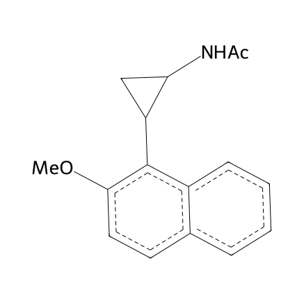 COc1ccc2ccccc2c1C1CC1NC(C)=O